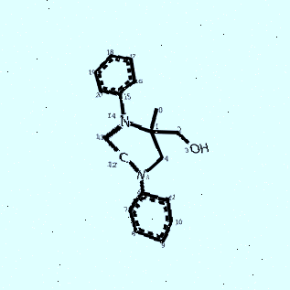 CC1(CO)CN(c2ccccc2)CCN1c1ccccc1